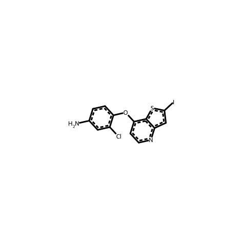 Nc1ccc(Oc2ccnc3cc(I)sc23)c(Cl)c1